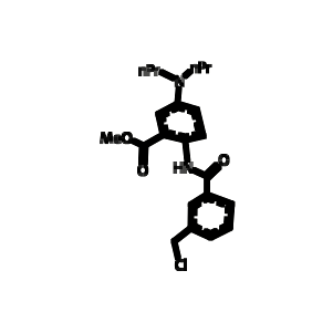 CCCN(CCC)c1ccc(NC(=O)c2cccc(CCl)c2)c(C(=O)OC)c1